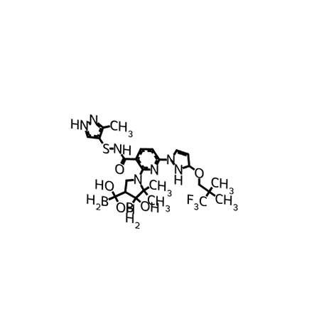 BC(O)(O)C1CN(c2nc(N3C=CC(OCC(C)(C)C(F)(F)F)N3)ccc2C(=O)NSc2c[nH]nc2C)C(C)(C)C1(B)O